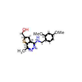 COc1ccc(CNc2nnc(C)c3sc(CO)cc23)c(OC)c1